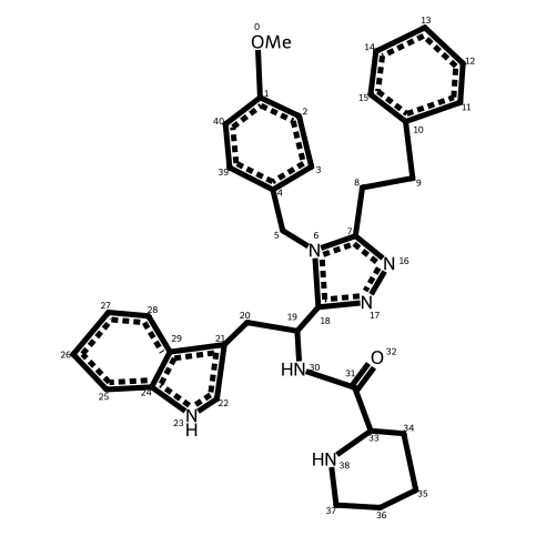 COc1ccc(Cn2c(CCc3ccccc3)nnc2C(Cc2c[nH]c3ccccc23)NC(=O)C2CCCCN2)cc1